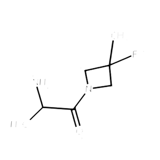 CC(N)C(=O)N1CC(C)(F)C1